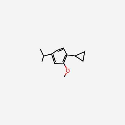 COc1cc([C](C)C)ccc1C1CC1